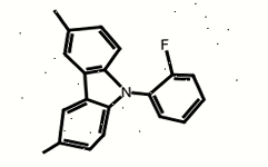 Cc1ccc2c(c1)c1cc(C)ccc1n2-c1ccccc1F